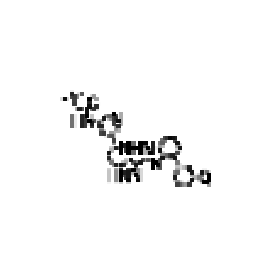 COc1cccc(-c2cccc3[nH]c(-c4n[nH]c5ccc(-c6cncc(NC(=O)CC(C)(C)C)c6)nc45)nc23)c1